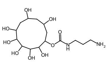 NCCCNC(=O)OC1CC(O)CC(O)CC(O)C(O)C(O)C(O)C1O